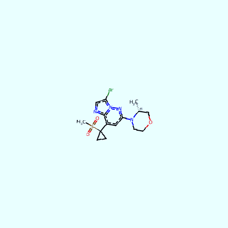 C[C@@H]1COCCN1c1cc(C2(S(C)(=O)=O)CC2)c2ncc(Br)n2n1